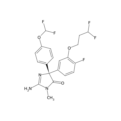 CN1C(=O)[C@@](c2ccc(OC(F)F)cc2)(c2ccc(F)c(OCCC(F)F)c2)N=C1N